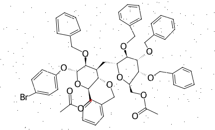 CC(=O)OC[C@H]1O[C@H](Oc2ccc(Br)cc2)[C@@H](OCc2ccccc2)[C@@H](C[C@H]2O[C@H](COC(C)=O)[C@@H](OCc3ccccc3)[C@@H](OCc3ccccc3)[C@@H]2OCc2ccccc2)[C@@H]1OCc1ccccc1